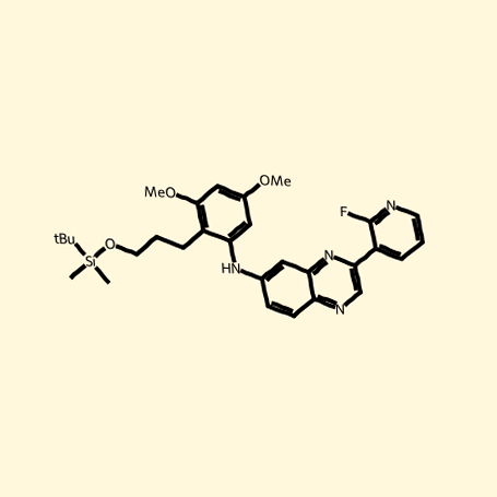 COc1cc(Nc2ccc3ncc(-c4cccnc4F)nc3c2)c(CCCO[Si](C)(C)C(C)(C)C)c(OC)c1